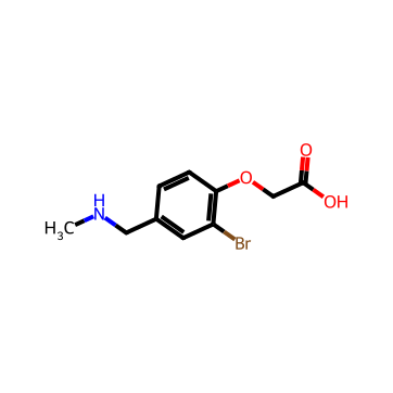 CNCc1ccc(OCC(=O)O)c(Br)c1